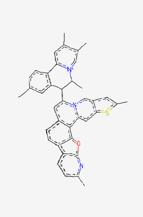 Cc1ccc2c(c1)C(c1cc3ccc4c5ccc(C)nc5oc4c3c3cc4sc(C)cc4c[n+]13)C(C)[n+]1cc(C)c(C)cc1-2